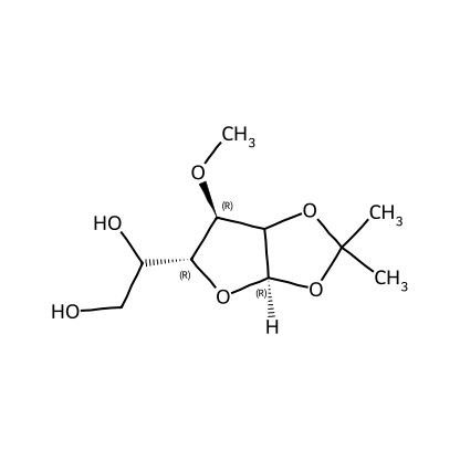 CO[C@H]1C2OC(C)(C)O[C@H]2O[C@@H]1C(O)CO